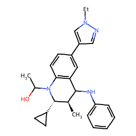 CCn1cc(-c2ccc3c(c2)C(Nc2ccccc2)[C@@H](C)[C@H](C2CC2)N3C(C)O)cn1